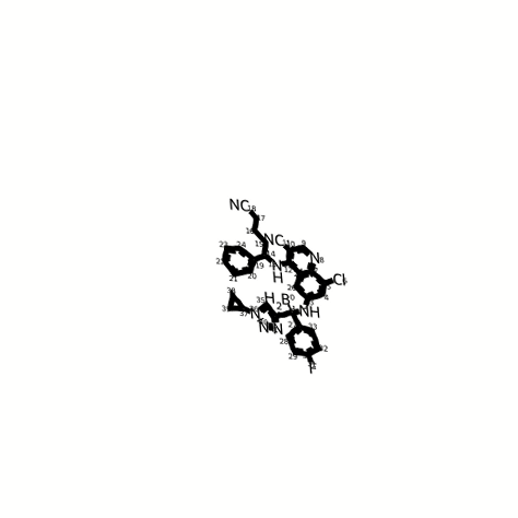 B[C@](Nc1cc(Cl)c2ncc(C#N)c(NC(CCCC#N)c3ccccc3)c2c1)(c1ccc(F)cc1)c1cn(C2CC2)nn1